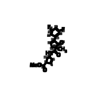 COC(=O)[C@@H]1C=C[C@H](NC(=O)C2(C)CC=C(c3cc(F)cc(F)c3)C2=O)C1